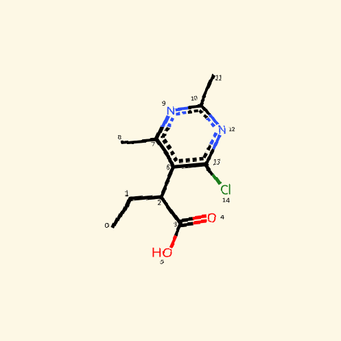 CCC(C(=O)O)c1c(C)nc(C)nc1Cl